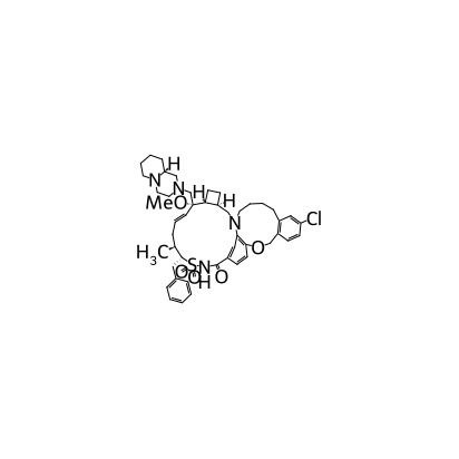 CO[C@@]1(CN2CCN3CCCC[C@@H]3C2)/C=C/C[C@H](C)[C@@H](Cc2ccccc2)S(=O)(=O)NC(=O)c2ccc3c(c2)N(CCCCc2cc(Cl)ccc2CO3)C[C@@H]2CC[C@H]21